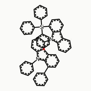 c1ccc(-c2cccc3c4c(-n5c6ccccc6c6cccc([Si](c7ccccc7)(c7ccccc7)c7ccccc7)c65)cccc4n(-c4ccccc4)c23)cc1